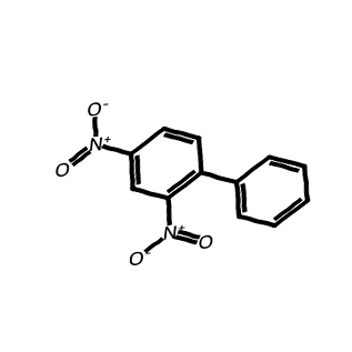 O=[N+]([O-])c1ccc(-c2ccccc2)c([N+](=O)[O-])c1